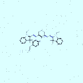 CCN1/C(=C/C=C2\CCCC(/C=C/C3=[N+](CC)c4ccccc4C3(C)C)=C2Oc2ccc(CCN)cc2)C(C)(C)c2ccccc21